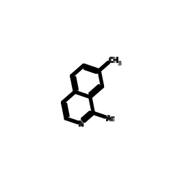 CC(=O)c1nccc2ccc(C)cc12